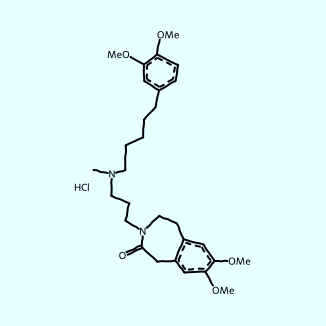 COc1ccc(CCCCCN(C)CCCN2CCc3cc(OC)c(OC)cc3CC2=O)cc1OC.Cl